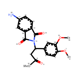 CCOc1ccc(C(CC(=O)OC)N2C(=O)c3ccc(N)cc3C2=O)cc1OCC